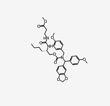 CCCC[C@@H](COC(=O)N(Cc1ccc(OC)cc1)C(c1ccc(OC)cc1)c1ccc2c(c1)OCO2)NC(=O)NCCC(=O)OC